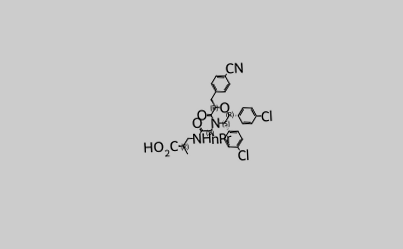 CCC[C@@H](C(=O)NC[C@@H](C)C(=O)O)N1C(=O)[C@@H](Cc2ccc(C#N)cc2)O[C@H](c2ccc(Cl)cc2)[C@@H]1c1ccc(Cl)cc1